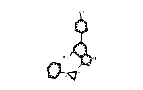 O=C(O)c1cc(-c2ccc(O)cc2)nc2[nH]nc([C@@H]3C[C@H]3c3ccccc3)c12